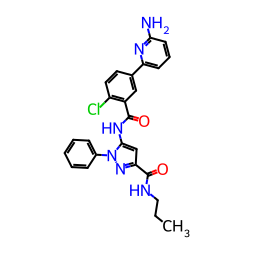 CCCNC(=O)c1cc(NC(=O)c2cc(-c3cccc(N)n3)ccc2Cl)n(-c2ccccc2)n1